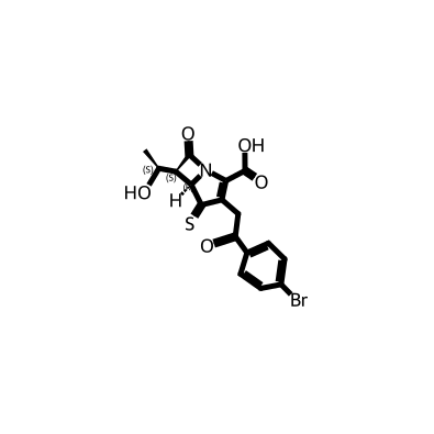 C[C@H](O)[C@H]1C(=O)N2C(C(=O)O)=C(CC(=O)c3ccc(Br)cc3)C(=S)[C@@H]12